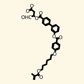 C=C(C)C(=O)OCCCCCCOc1ccc(C(=O)Oc2cccc(-c3ccc(C(=O)OC(C=O)CC([O])=O)cc3)c2)cc1